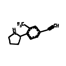 C#Cc1ccc(C2CCCN2)c(C(F)(F)F)c1